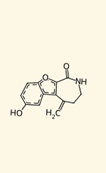 C=C1CCNC(=O)c2oc3ccc(O)cc3c21